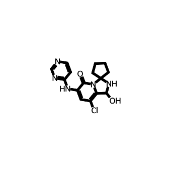 O=c1c(Nc2ccncn2)cc(Cl)c2n1C1(CCCC1)NC2O